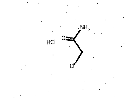 Cl.NC(=O)CCl